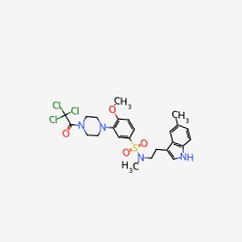 COc1ccc(S(=O)(=O)N(C)CCc2c[nH]c3ccc(C)cc23)cc1N1CCN(C(=O)C(Cl)(Cl)Cl)CC1